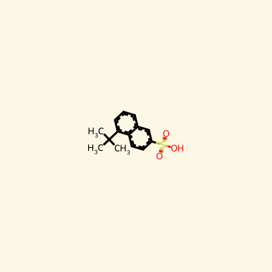 CC(C)(C)c1cccc2cc(S(=O)(=O)O)ccc12